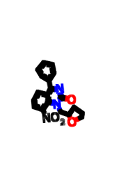 O=c1nc(-c2ccccc2)c2cccc([N+](=O)[O-])c2n1CC1CCCO1